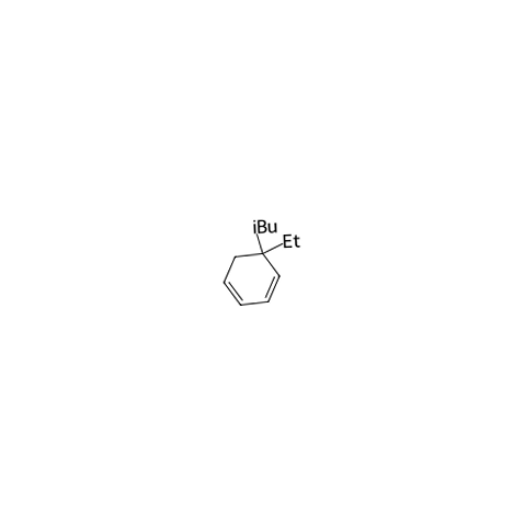 CCC(C)C1(CC)C=CC=CC1